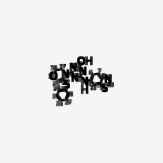 Oc1nc(Nc2ccc3ncsc3c2)nc(N2CCOCC2Sc2ccccc2)n1